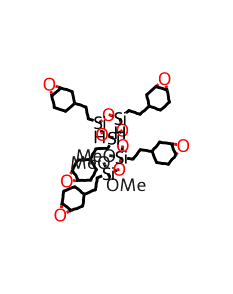 CO[Si](CCC1CCC2OC2C1)(OC)O[Si](CCC1CCC2OC2C1)(OC)O[Si]1(CCC2CCC3OC3C2)O[SiH](CCC2CCC3OC3C2)O[SiH](CCC2CCC3OC3C2)O1